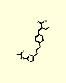 CC/C(=C\c1ccc(CCCc2csc(NC(C)=O)n2)cc1)C(=O)O